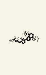 CC(/C=C1/CCC2(c3ccc4c(c3)C(C)(C)CCC4(C)C)CC12)=C\C(=O)O